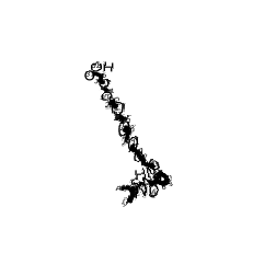 Cc1nc(NC(=O)c2ccccc2NC(=O)CCOCCOCCOCCOCCOCCOCCC(=O)O)sc1C